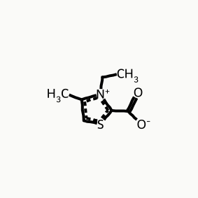 CC[n+]1c(C)csc1C(=O)[O-]